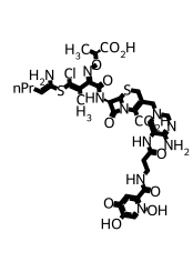 CCC/C=C(\N)S/C(Cl)=C(C)/C(=N/O[C@@H](C)C(=O)O)C(=O)N[C@@H]1C(=O)N2C(C(=O)O)=C(CN3C=C(NC(=O)CCNC(=O)c4cc(=O)c(O)cn4O)C(N)=NC3)CSC12